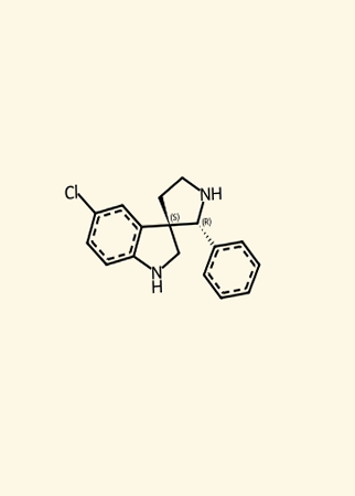 Clc1ccc2c(c1)[C@@]1(CCN[C@@H]1c1ccccc1)CN2